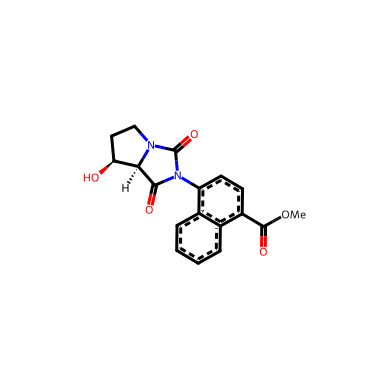 COC(=O)c1ccc(N2C(=O)[C@H]3[C@@H](O)CCN3C2=O)c2ccccc12